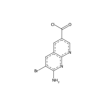 Nc1nc2ncc(C(=O)Cl)cc2cc1Br